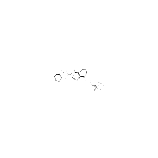 NC(=O)C(Cc1ccccc1)n1ccc2c(NC(=O)CC34CC5CC(CC(C5)C3)C4)cccc2c1=O